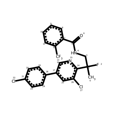 CC(F)(CNC(=O)c1ccccc1C(F)(F)F)c1ncc(-c2ccc(Cl)cc2)cc1Cl